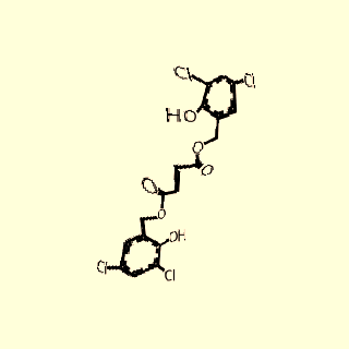 O=C(/C=C/C(=O)OCc1cc(Cl)cc(Cl)c1O)OCc1cc(Cl)cc(Cl)c1O